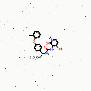 CCOC(=O)C[C@H](NC(=O)Nc1c(O)ccn(C)c1=O)c1ccc(Oc2ccccc2C)cc1